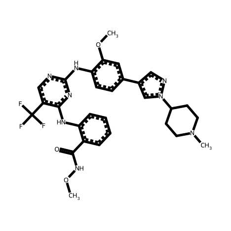 CONC(=O)c1ccccc1Nc1nc(Nc2ccc(-c3cnn(C4CCN(C)CC4)c3)cc2OC)ncc1C(F)(F)F